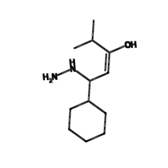 CC(C)/C(O)=C\C(NN)C1CCCCC1